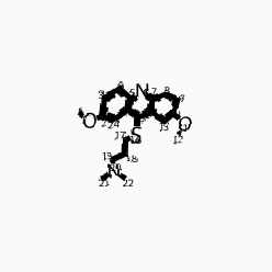 COc1ccc2nc3ccc(OC)cc3c(SCCCN(C)C)c2c1